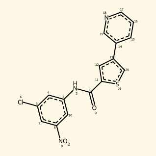 O=C(Nc1cc(Cl)cc([N+](=O)[O-])c1)c1cc(-c2cccnc2)cs1